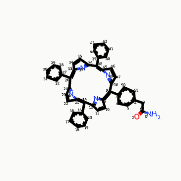 NC(=O)Cc1ccc(C2=C3C=CC(=N3)C(c3ccccc3)=C3C=CC(=N3)C(c3ccccc3)=C3C=CC(=N3)C(c3ccccc3)=C3C=CC2=N3)cc1